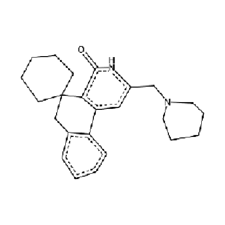 O=c1[nH]c(CN2CCCCC2)cc2c1C1(CCCCC1)Cc1ccccc1-2